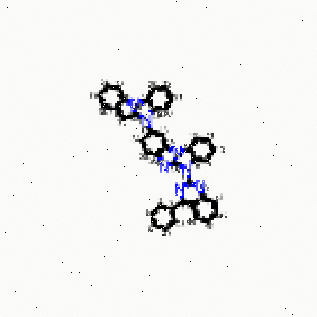 c1ccc(-c2nc(-n3c4ccccc4n4c5cc(-n6c7ccccc7n7c8ccccc8cc67)ccc5nc34)nc3ccccc23)cc1